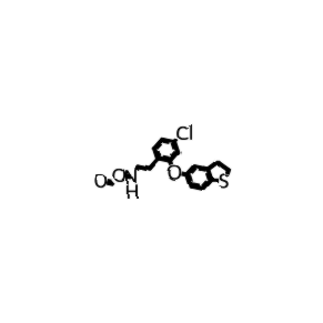 O=CONCCc1ccc(Cl)cc1Oc1ccc2c(c1)CCS2